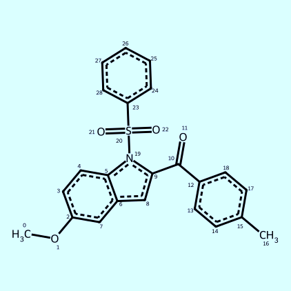 COc1ccc2c(c1)cc(C(=O)c1ccc(C)cc1)n2S(=O)(=O)c1ccccc1